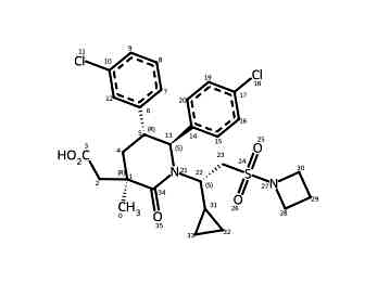 C[C@]1(CC(=O)O)C[C@H](c2cccc(Cl)c2)[C@@H](c2ccc(Cl)cc2)N([C@H](CS(=O)(=O)N2CCC2)C2CC2)C1=O